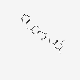 Cc1cc(C)nc(SCC(=O)Nc2ccc(Cc3ccccc3)cc2)n1